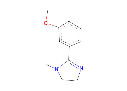 COc1cccc(C2=NCCN2C)c1